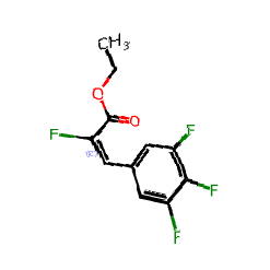 CCOC(=O)/C(F)=C\c1cc(F)c(F)c(F)c1